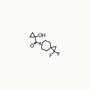 O=C(N1CCC2(CC1)CC2(F)F)C1(O)CC1